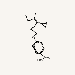 CCC(C)N(CCOc1ccc(C(=O)O)cc1)C1CC1